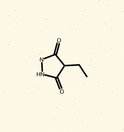 CCC1C(=O)[N]NC1=O